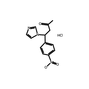 CC(=O)CC(c1ccc([N+](=O)[O-])cc1)n1ccnc1.Cl